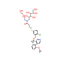 O=C(CCCSc1ccc(Cl)c(COC2(c3cnccc3-c3ccccc3OC3CC3)CC2)c1)N(CCOCCO)CC(O)C(O)C(O)C(O)CO